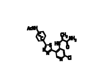 C=C(Nc1cc(Cl)ncc1-c1nnc(C23CCC(NC(C)=O)(CC2)CC3)s1)C(N)=O